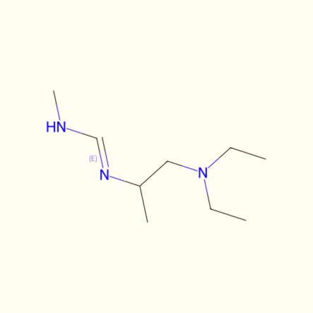 CCN(CC)CC(C)/N=C/NC